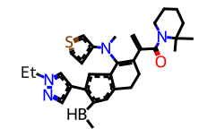 C=C(C(=O)N1CCCCC1(C)C)C1=C(N(C)c2ccsc2)c2cc(-c3cnn(CC)c3)c(BC)cc2CC1